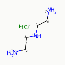 Cl.NCCNCCN